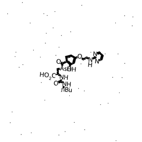 CCCCNC(=O)N[C@H](C[AsH]C(=O)c1ccc(OCCNc2ncccn2)cc1O)C(=O)O